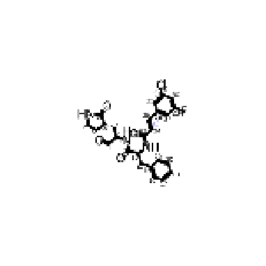 O=CC(C[C@@H]1CCNC1=O)NC(=O)C(Cc1ccccc1)NC(=O)/C=C/c1cc(F)cc(Cl)c1